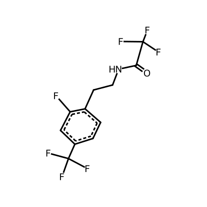 O=C(NCCc1ccc(C(F)(F)F)cc1F)C(F)(F)F